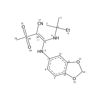 CCC(C)(C)N/C(Nc1ccc2c(c1)OCO2)=C(\C#N)S(C)(=O)=O